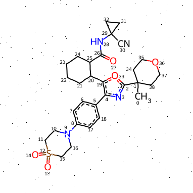 CC1(c2nc(-c3ccc(N4CCS(=O)(=O)CC4)cc3)c(C3CCCCC3C(=O)NC3(C#N)CC3)o2)CCOCC1